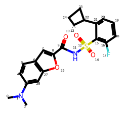 CN(C)c1ccc2cc(C(=O)NS(=O)(=O)c3c(F)cccc3C3CCC3)oc2c1